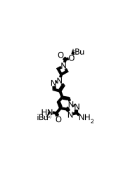 CC[C@H](C)NC(=O)c1cc(-c2cnn(C3CN(C(=O)OC(C)(C)C)C3)c2)cn2nc(N)nc12